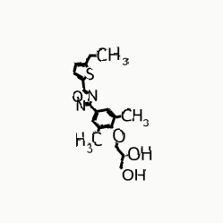 CCc1ccc(-c2nc(-c3cc(C)c(OC[C@H](O)CO)c(C)c3)no2)s1